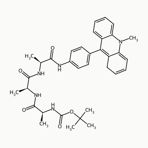 C[C@H](NC(=O)OC(C)(C)C)C(=O)N[C@@H](C)C(=O)N[C@@H](C)C(=O)Nc1ccc(C2=C3CC=CC=C3N(C)c3ccccc32)cc1